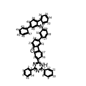 c1ccc(C2=N[C@H](c3ccccc3)NC(c3ccc4c(c3)oc3ccc(-c5cccc(-n6c7ccccc7c7ccc(-c8ccccc8)cc76)c5)cc34)=N2)cc1